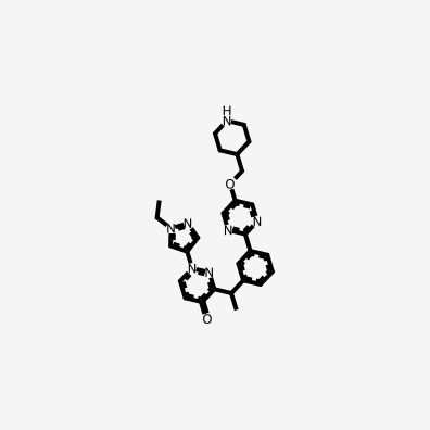 CCn1cc(-n2ccc(=O)c(C(C)c3cccc(-c4ncc(OCC5CCNCC5)cn4)c3)n2)cn1